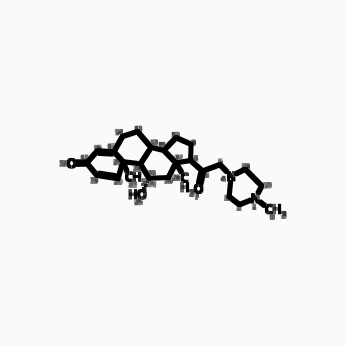 CN1CCN(CC(=O)C2CCC3C4CCC5=CC(=O)C=CC5(C)C4[C@@H](O)CC23C)CC1